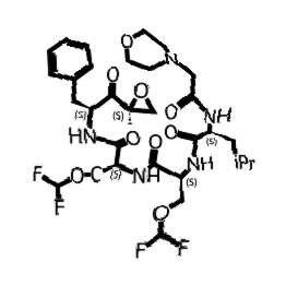 CC(C)C[C@H](NC(=O)CN1CCOCC1)C(=O)N[C@@H](COC(F)F)C(=O)N[C@@H](COC(F)F)C(=O)N[C@@H](Cc1ccccc1)C(=O)[C@]1(C)CO1